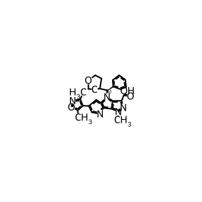 Cc1noc(C)c1-c1cnc2c3c(c(C(=O)O)nn3C)n([C@H](c3ccccc3)C3CCOCC3)c2c1